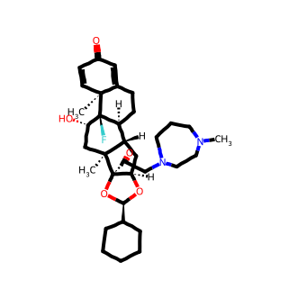 CN1CCCN(CC(=O)[C@@]23O[C@H](C4CCCCC4)O[C@@H]2C[C@H]2[C@@H]4CCC5=CC(=O)C=C[C@]5(C)[C@@]4(F)[C@@H](O)C[C@@]23C)CC1